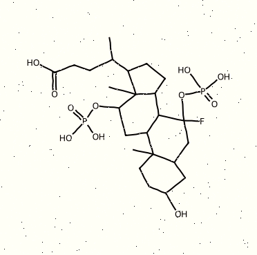 CC(CCC(=O)O)C1CCC2C3C(CC(OP(=O)(O)O)C12C)C1(C)CCC(O)CC1CC3(F)OP(=O)(O)O